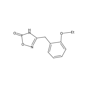 CCOc1ccccc1Cc1noc(=O)[nH]1